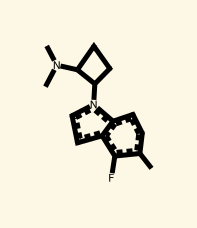 Cc1ccc2c(ccn2C2CCC2N(C)C)c1F